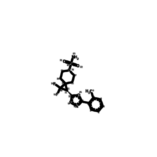 Cc1ccccc1-c1nnc([C@@H]2C(F)(F)C23CCN(S(N)(=O)=O)CC3)o1